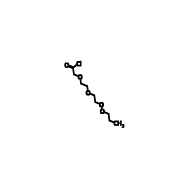 CCCOOCCOCCOCC(=O)Cl